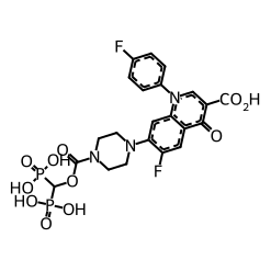 O=C(O)c1cn(-c2ccc(F)cc2)c2cc(N3CCN(C(=O)OC(P(=O)(O)O)P(=O)(O)O)CC3)c(F)cc2c1=O